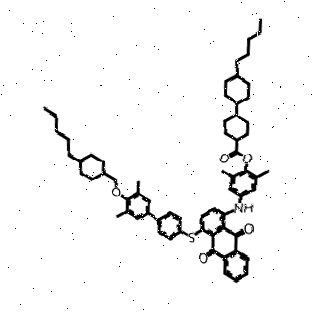 CCCCCC1CCC(COc2c(C)cc(-c3ccc(Sc4ccc(Nc5cc(C)c(OC(=O)C6CCC(C7CCC(CCCCC)CC7)CC6)c(C)c5)c5c4C(=O)c4ccccc4C5=O)cc3)cc2C)CC1